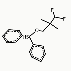 CC(C)(CO[SiH](c1ccccc1)c1ccccc1)C(F)F